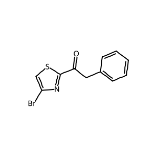 O=C(Cc1ccccc1)c1nc(Br)cs1